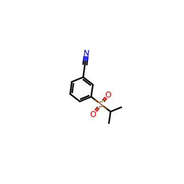 CC(C)S(=O)(=O)c1cccc(C#N)c1